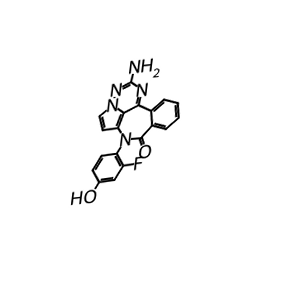 Nc1nc2c3c(ccn3n1)N(c1ccc(O)cc1F)C(=O)c1ccccc1-2